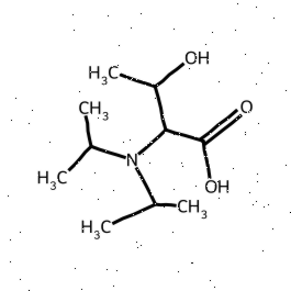 CC(O)C(C(=O)O)N(C(C)C)C(C)C